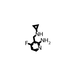 Nc1nccc(F)c1CNC1CC1